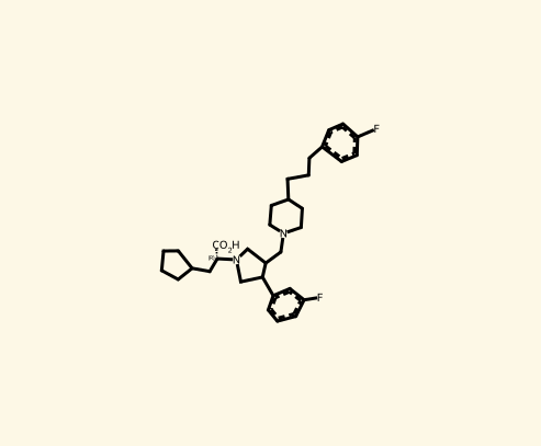 O=C(O)[C@@H](CC1CCCC1)N1CC(CN2CCC(CCCc3ccc(F)cc3)CC2)C(c2cccc(F)c2)C1